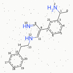 CC(N)c1cccc(/C(C=N)=C/NCCc2ccccc2)c1